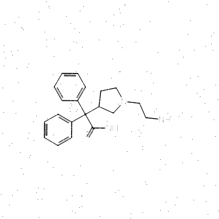 NCCN1CCC(C(C(N)=O)(c2ccccc2)c2ccccc2)C1